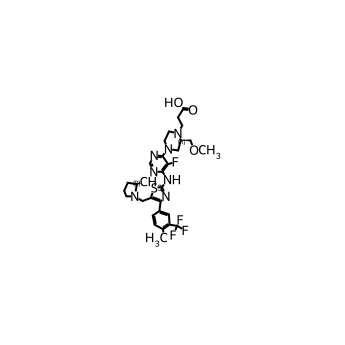 COC[C@H]1CN(c2ncnc(Nc3nc(-c4ccc(C)c(C(F)(F)F)c4)c(CN4CCC[C@H]4C)s3)c2F)CCN1CCC(=O)O